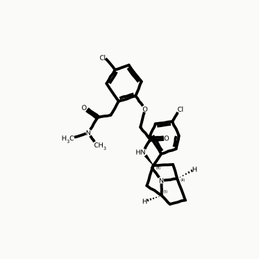 CN(C)C(=O)Cc1cc(Cl)ccc1OCC(=O)N[C@H]1C[C@H]2CC[C@@H](C1)N2Cc1ccc(Cl)cc1